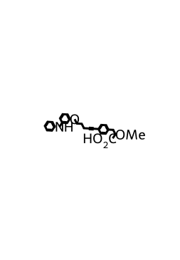 CO[C@@H](Cc1ccc(C#CCCCOc2cccc(Nc3ccccc3)c2)cc1)C(=O)O